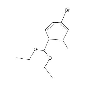 CCOC(OCC)C1C=CC(Br)=CC1C